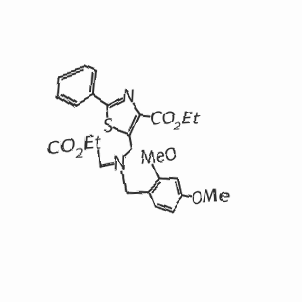 CCOC(=O)CN(Cc1ccc(OC)cc1OC)Cc1sc(-c2ccccc2)nc1C(=O)OCC